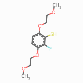 COCCOc1ccc(OCCOC)c(S)c1F